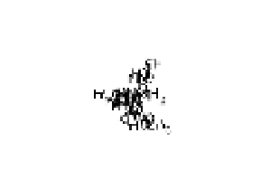 C#CCNC(=O)NCCCCC(NC(=O)[C@@H]1C[C@H](n2nncc2C(C)(C)O)CN1C(=O)C(CC1CCCCC1)NC(=O)c1ccc(S(C)(=O)=O)cc1)C(=O)C(N)=O